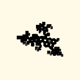 C[C@H](CN(C)C(=O)N(c1nn(CC(F)(F)F)c2c(-c3ccc(C#CC(C)(C)S(C)(=O)=O)nc3[C@H](Cc3cc(F)cc(F)c3)NC(=O)Cn3nc(C(F)(F)F)c4c3C(F)(F)[C@@H]3C[C@H]43)ccc(Cl)c12)S(C)(=O)=O)OP(=O)(O)O